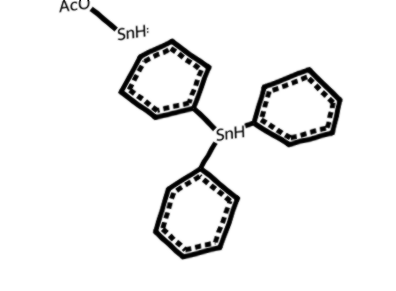 CC(=O)[O][SnH].c1cc[c]([SnH]([c]2ccccc2)[c]2ccccc2)cc1